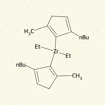 CCCCC1=CCC(C)=[C]1[Zr]([CH2]C)([CH2]C)[C]1=C(C)CC=C1CCCC